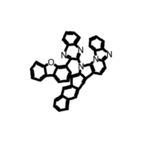 c1ccc2cc3cc4c(cc3cc2c1)c1ccc2nc3ccccc3n2c1n4-c1nc2ccccc2nc1-c1cccc2c1oc1ccccc12